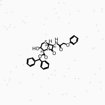 O=C(COc1ccccc1)N[C@@H]1C(=O)N2[C@@H]1SCC(O)[C@@H]2C(=O)OC(c1ccccc1)c1ccccc1